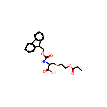 CCC(=O)OCCSCC(NC(=O)OCC1c2ccccc2-c2ccccc21)C(=O)O